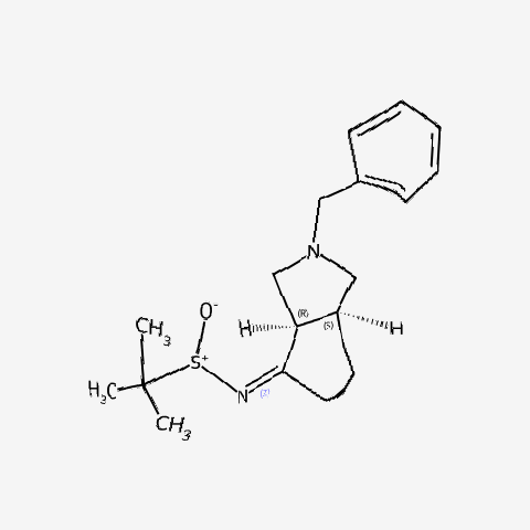 CC(C)(C)[S+]([O-])/N=C1/CC[C@@H]2CN(Cc3ccccc3)C[C@H]12